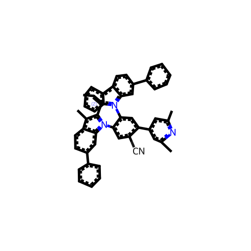 C/C=C\c1c(C)c2ccc(-c3ccccc3)cc2n1-c1cc(C#N)c(-c2cc(C)nc(C)c2)cc1-n1c2ccccc2c2ccc(-c3ccccc3)cc21